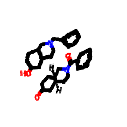 O=C1CC[C@@H]2CN(C(=O)c3ccccc3)CC[C@H]2C1.OC1CCC2CN(Cc3ccccc3)CCC2C1